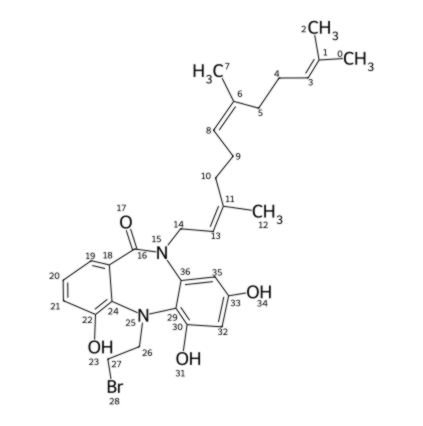 CC(C)=CCCC(C)=CCCC(C)=CCN1C(=O)c2cccc(O)c2N(CCBr)c2c(O)cc(O)cc21